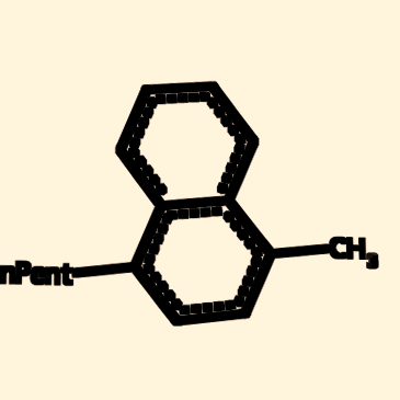 CCCCCc1ccc(C)c2ccccc12